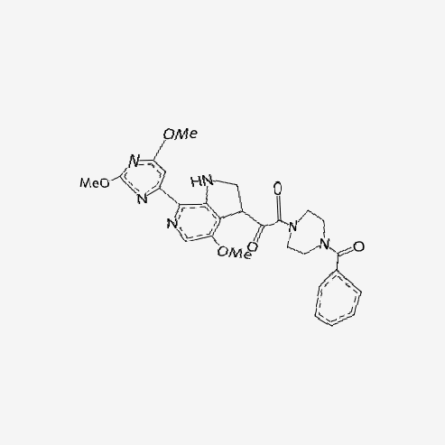 COc1cc(-c2ncc(OC)c3c2NCC3C(=O)C(=O)N2CCN(C(=O)c3ccccc3)CC2)nc(OC)n1